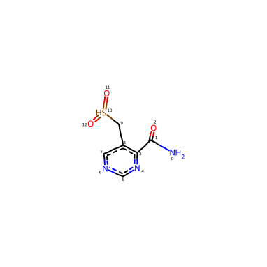 NC(=O)c1ncncc1C[SH](=O)=O